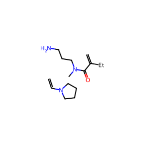 C=C(CC)C(=O)N(C)CCCN.C=CN1CCCC1